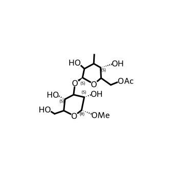 CO[C@@H]1OC(CO)[C@H](O)C(O[C@@H]2OC(COC(C)=O)[C@@H](O)C(C)C2O)[C@@H]1O